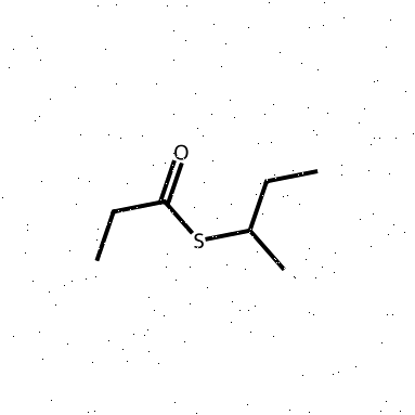 CCC(=O)SC(C)CC